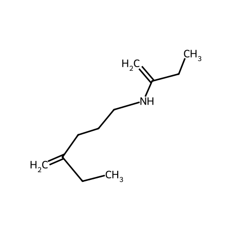 C=C(CC)CCCNC(=C)CC